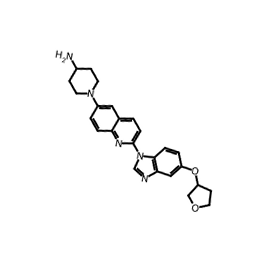 NC1CCN(c2ccc3nc(-n4cnc5cc(OC6CCOC6)ccc54)ccc3c2)CC1